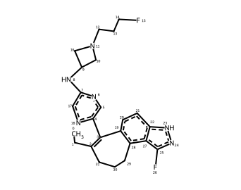 CCC1=C(c2cnc(NC3CN(CCCF)C3)cn2)c2ccc3[nH]nc(F)c3c2CCC1